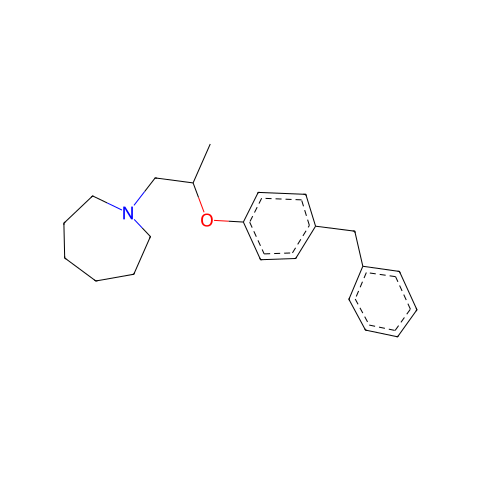 CC(CN1CCCCCC1)Oc1ccc(Cc2ccccc2)cc1